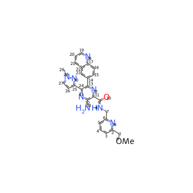 COCc1cccc(CNC(=O)c2nc(-c3ccc4ncccc4c3)c(-c3ccn(C)n3)nc2N)n1